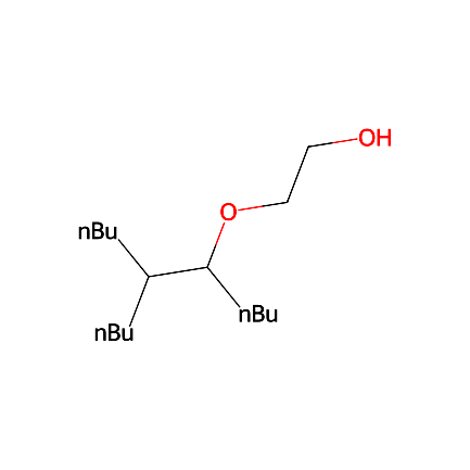 CCCCC(CCCC)C(CCCC)OCCO